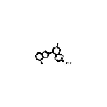 COc1cnc2c(C3=Cc4cccc(C)c4C3)cc(C)cc2n1